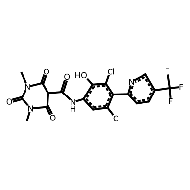 CN1C(=O)C(C(=O)Nc2cc(Cl)c(-c3ccc(C(F)(F)F)cn3)c(Cl)c2O)C(=O)N(C)C1=O